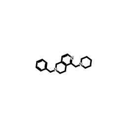 c1ccc(CN2CCc3c(ccnc3CN3CCCCC3)C2)cc1